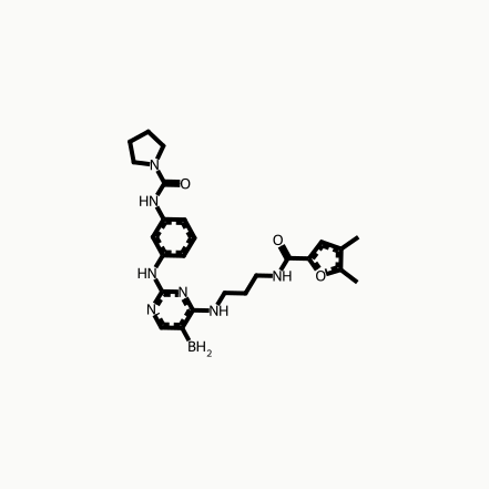 Bc1cnc(Nc2cccc(NC(=O)N3CCCC3)c2)nc1NCCCNC(=O)c1cc(C)c(C)o1